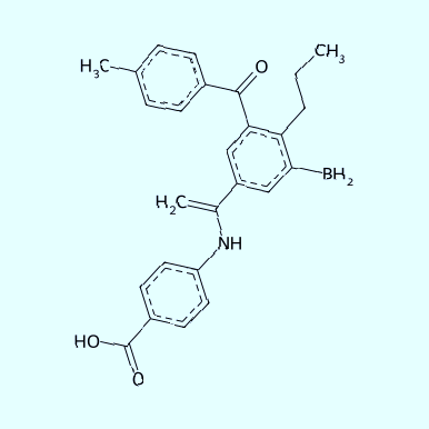 Bc1cc(C(=C)Nc2ccc(C(=O)O)cc2)cc(C(=O)c2ccc(C)cc2)c1CCC